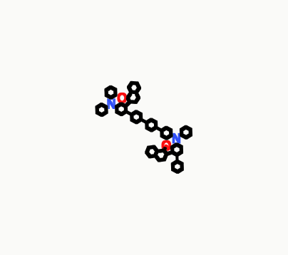 c1ccc(-c2ccc(N(c3ccccc3)c3ccc(-c4ccc(-c5ccc(-c6ccc(N(c7ccccc7)c7ccccc7)c7oc8c9ccccc9ccc8c67)cc5)cc4)cc3)c3oc4c5ccccc5ccc4c23)cc1